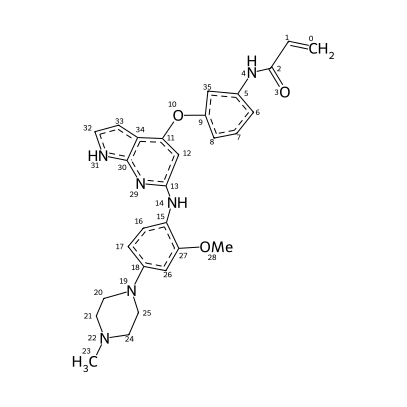 C=CC(=O)Nc1cccc(Oc2cc(Nc3ccc(N4CCN(C)CC4)cc3OC)nc3[nH]ccc23)c1